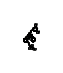 COC(=O)CCc1cccc(CN(CC=Cc2cc(Cl)cc(Cl)c2)S(=O)(=O)c2ccccc2)c1